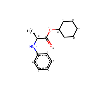 C[C@H](Nc1ccccc1)C(=O)OC1CCCCC1